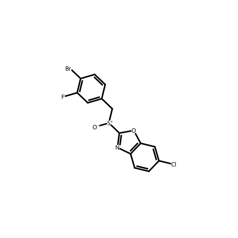 [O-][S+](Cc1ccc(Br)c(F)c1)c1nc2ccc(Cl)cc2o1